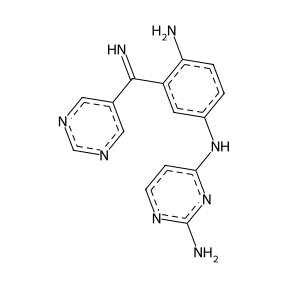 N=C(c1cncnc1)c1cc(Nc2ccnc(N)n2)ccc1N